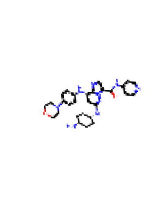 N[C@H]1CC[C@H](Nc2cc(Nc3ccc(N4CCOCC4)cc3)c3ncc(C(=O)Nc4ccncc4)n3n2)CC1